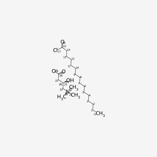 CCCCCCCCCCCCCCCC(=O)Cl.C[N+](C)(C)C[C@H](O)CC(=O)[O-]